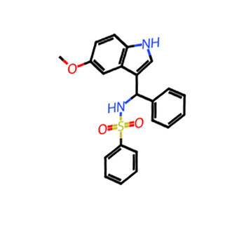 COc1ccc2[nH]cc(C(NS(=O)(=O)c3ccccc3)c3ccccc3)c2c1